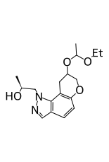 CCOC(C)OC1COc2ccc3cnn(C[C@H](C)O)c3c2C1